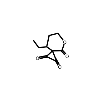 CCC1CCOC(=O)C12C(=O)C2=O